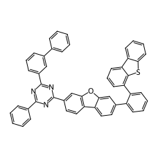 c1ccc(-c2cccc(-c3nc(-c4ccccc4)nc(-c4ccc5c(c4)oc4cc(-c6ccccc6-c6cccc7c6sc6ccccc67)ccc45)n3)c2)cc1